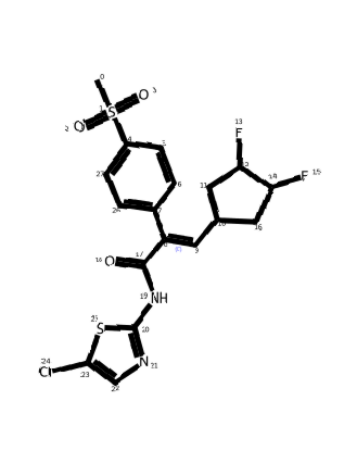 CS(=O)(=O)c1ccc(/C(=C\C2CC(F)C(F)C2)C(=O)Nc2ncc(Cl)s2)cc1